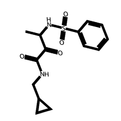 CC(NS(=O)(=O)c1ccccc1)C(=O)C(=O)NCC1CC1